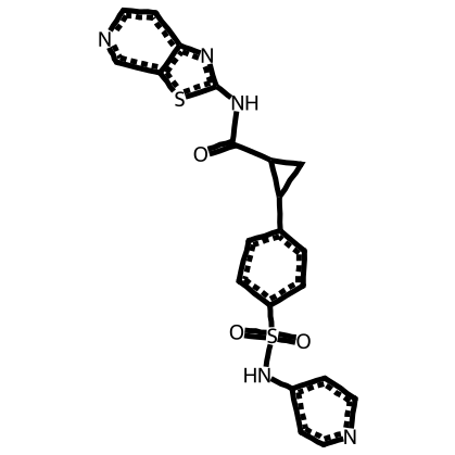 O=C(Nc1nc2ccncc2s1)C1CC1c1ccc(S(=O)(=O)Nc2ccncc2)cc1